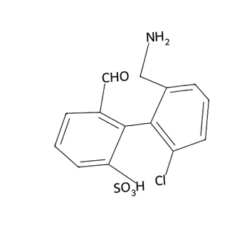 NCc1cccc(Cl)c1-c1c(C=O)cccc1S(=O)(=O)O